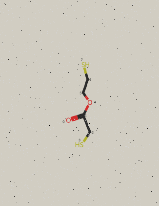 O=C(CS)OCCS